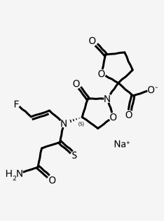 NC(=O)CC(=S)N(C=CF)[C@H]1CON(C2(C(=O)[O-])CCC(=O)O2)C1=O.[Na+]